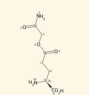 NC(=O)COC(=O)CC[C@H](N)C(=O)O